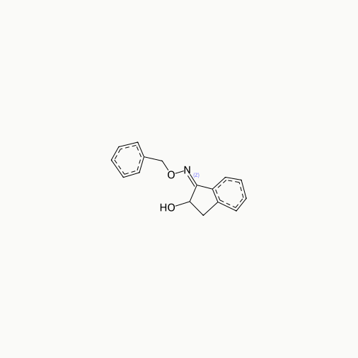 OC1Cc2ccccc2/C1=N/OCc1ccccc1